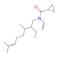 C=CN(CC(CC)C(C)CCC=C(C)C)C(=O)C1CC1